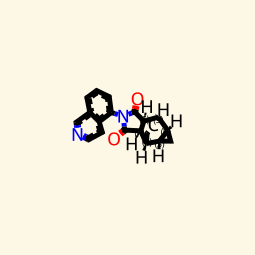 O=C1[C@@H]2[C@@H]3CC[C@@H]([C@@H]4C[C@@H]43)[C@@H]2C(=O)N1c1cccc2cnccc12